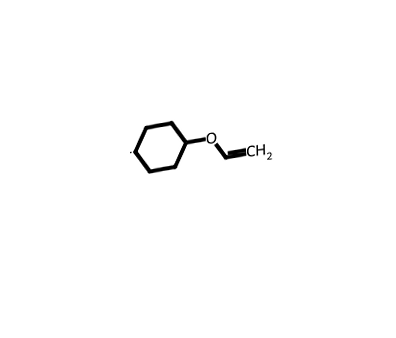 C=COC1CC[CH]CC1